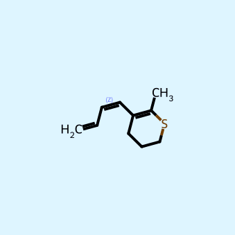 C=C/C=C\C1=C(C)SCCC1